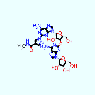 CNC(=O)c1cnn(-c2nc(N)c3ncn([C@@H]4O[C@H](CO)C(Oc5nc(N)c6ncn([C@@H]7O[C@H](CO)[C@H](O)[C@@H]7O)c6n5)[C@@H]4O)c3n2)c1